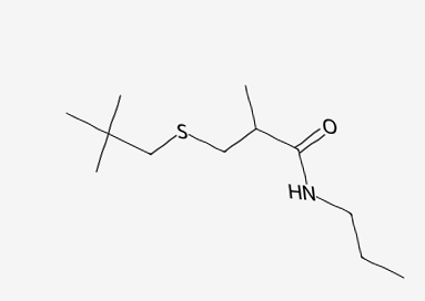 CCCNC(=O)C(C)CSCC(C)(C)C